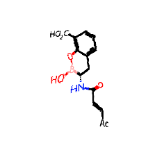 CC(=O)C=CC(=O)N[C@H]1Cc2cccc(C(=O)O)c2OB1O